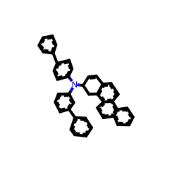 C1=CC(N(c2ccc(-c3ccccc3)cc2)c2cccc(-c3ccccc3)c2)Cc2c1ccc1c2ccc2ccccc21